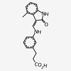 Cc1cccc2c1/C(=C/Nc1cccc(CCC(=O)O)c1)C(=O)N2